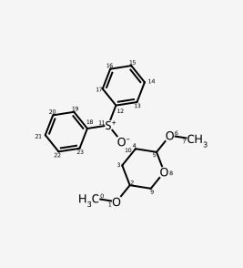 COC1CCC(OC)OC1.[O-][S+](c1ccccc1)c1ccccc1